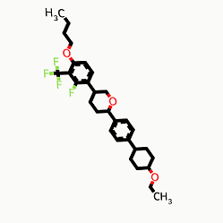 CCCCOc1ccc(C2CCC(c3ccc(C4CCC(OCC)CC4)cc3)OC2)c(F)c1C(F)(F)F